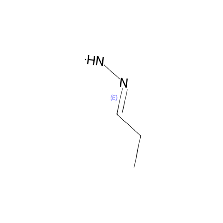 CC/C=N/[NH]